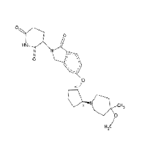 COC1(C)CCN([C@H]2CCC[C@@H]2Oc2ccc3c(c2)CN(C2CCC(=O)NC2=O)C3=O)CC1